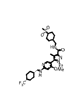 CCn1nc(C(=O)NCC2CCC(S(C)(=O)=O)CC2)c(C)c1-c1cnc(NC[C@H]2CC[C@@H](C(F)(F)F)CC2)cc1OC